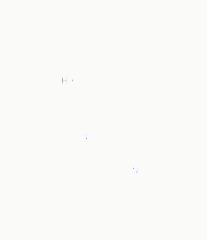 Cc1ccccc1-c1ccnc2cc(CN)ccc12